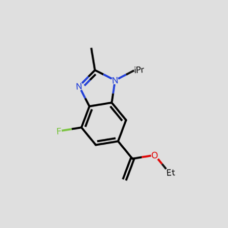 C=C(OCC)c1cc(F)c2nc(C)n(C(C)C)c2c1